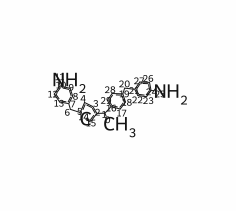 CC(c1ccc(Cc2ccc(N)cc2)cc1)c1ccc(Cc2ccc(N)cc2)cc1